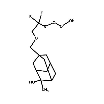 CC1(O)C2CC3CC1CC(COCC(F)(F)SOOO)(C3)C2